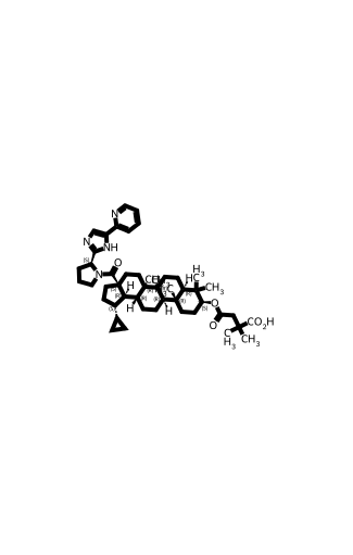 CC(C)(CC(=O)O[C@H]1CC[C@]2(C)[C@H]3CC[C@@H]4[C@H]5[C@H](C6CC6)CC[C@]5(C(=O)N5CCC[C@H]5c5ncc(-c6ccccn6)[nH]5)CC[C@@]4(C)[C@]3(C)CC[C@H]2C1(C)C)C(=O)O